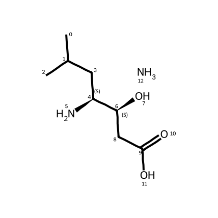 CC(C)C[C@H](N)[C@@H](O)CC(=O)O.N